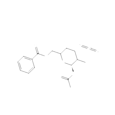 CC(=O)O[C@H]1OC(COC(=O)c2ccccc2)[C@H](C)[C@H](N=[N+]=[N-])C1C